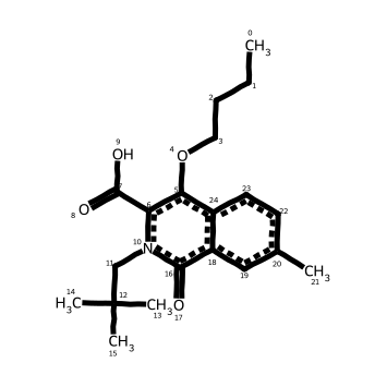 CCCCOc1c(C(=O)O)n(CC(C)(C)C)c(=O)c2cc(C)ccc12